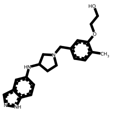 Cc1ccc(CN2CCC(Nc3ccc4[nH]ncc4c3)C2)cc1OCCO